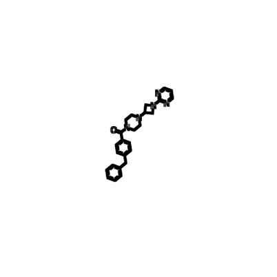 O=C(c1ccc(Cc2ccccc2)cc1)N1CCN(C2CN(c3ncccn3)C2)CC1